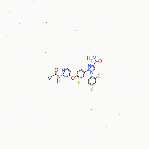 NC(=O)c1cn(-c2ccc(F)cc2Cl)c(-c2ccc(Oc3ccnc(NC(=O)C4CC4)c3)c(F)c2)n1